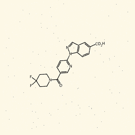 O=C(O)c1ccc2c(cnn2-c2ccc(C(=O)N3CCC(F)(F)CC3)cn2)c1